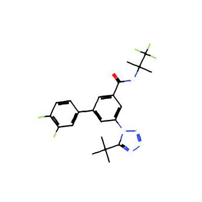 CC(C)(C)c1nnnn1-c1cc(C(=O)NC(C)(C)C(F)(F)F)cc(-c2ccc(F)c(F)c2)c1